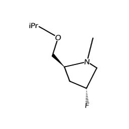 CC(C)OC[C@@H]1C[C@@H](F)CN1C